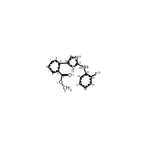 COC(=O)c1ccccc1-c1cnc(Nc2ccccc2F)s1